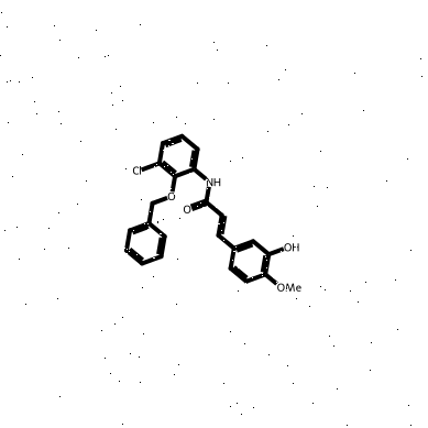 COc1ccc(C=CC(=O)Nc2cccc(Cl)c2OCc2ccccc2)cc1O